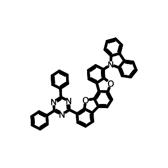 c1ccc(-c2nc(-c3ccccc3)nc(-c3cccc4c3oc3c4ccc4oc5c(-n6c7ccccc7c7ccccc76)cccc5c43)n2)cc1